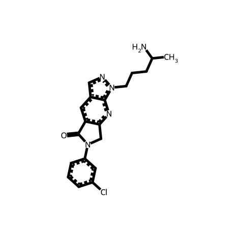 CC(N)CCCn1ncc2cc3c(nc21)CN(c1cccc(Cl)c1)C3=O